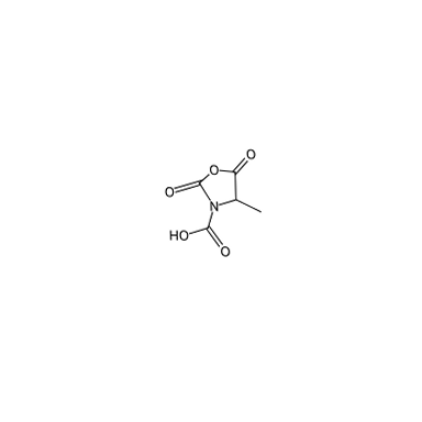 CC1C(=O)OC(=O)N1C(=O)O